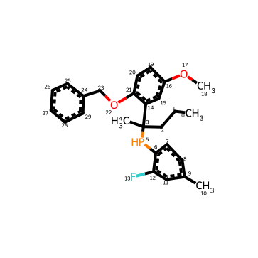 CCCC(C)(Pc1ccc(C)cc1F)c1cc(OC)ccc1OCc1ccccc1